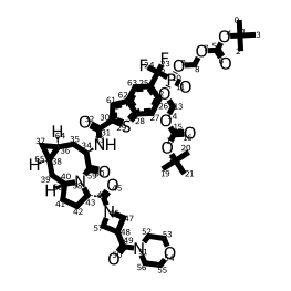 CC(C)(C)OC(=O)OCOP(=O)(OCOC(=O)OC(C)(C)C)C(F)(F)c1ccc2sc(C(=O)N[C@H]3C[C@@H]4C[C@@H]4C[C@H]4CC[C@@H](C(=O)N5CC(C(=O)N6CCOCC6)C5)N4C3=O)cc2c1